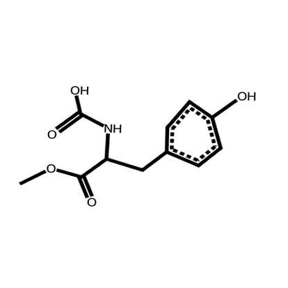 COC(=O)C(Cc1ccc(O)cc1)NC(=O)O